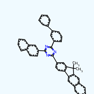 CC1(C)c2cc(-c3nc(-c4cccc(-c5ccccc5)c4)nc(-c4ccc5ccccc5c4)n3)ccc2-c2cc3ccccc3cc21